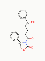 O=C(CCC[C@@H](O)c1ccccc1)N1C(=O)OC[C@H]1c1ccccc1